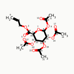 C=CCOC(=O)[C@H]1OC(OC(C)=O)[C@H](OC(C)=O)[C@@H](OC(C)=O)[C@@H]1OC(C)=O